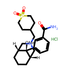 CO[C@]1(c2cccc(C(N)=O)c2)[C@@H]2CCC[C@H]1CN(CC1CCS(=O)(=O)CC1)C2.Cl